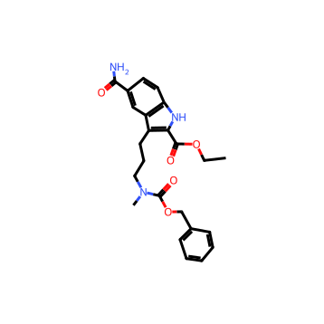 CCOC(=O)c1[nH]c2ccc(C(N)=O)cc2c1CCCN(C)C(=O)OCc1ccccc1